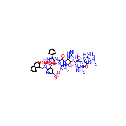 N=C(N)NC(NC(=O)C(NC(=N)N)NC(=O)C(NC(=N)N)NC(=O)C(NC(=N)N)NC(=O)C(NC(=O)C(O)N(Cc1c(O)ccc2ccccc12)c1ncc([N+](=O)[O-])cc1[N+](=O)[O-])c1ccccc1)C(N)=O